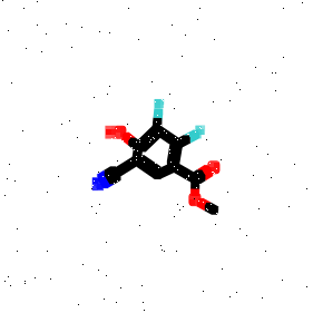 COC(=O)c1cc(C#N)c(O)c(F)c1F